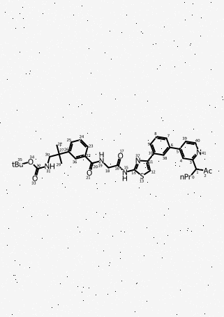 CCCC(C(C)=O)c1cc(-c2cccc(-c3csc(NC(=O)CNC(=O)c4cccc(C(C)(C)CNC(=O)OC(C)(C)C)c4)n3)c2)ccn1